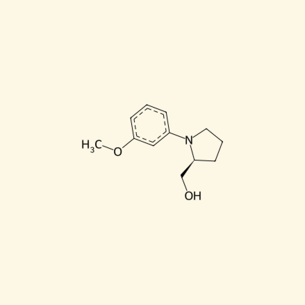 COc1cccc(N2CCC[C@H]2CO)c1